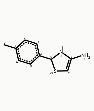 Cc1ccc(C2NC(N)=CS2)cc1